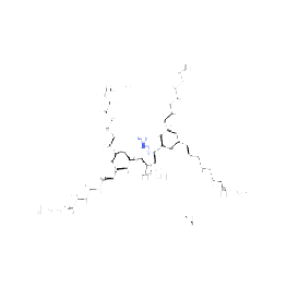 CCCCCCCCCCCCCCCC=Cc1cc(C=CCCCCCCCCCCCCCCC)cc(C2=CC(CCCC)=C(c3cc(C=CCCCCCCCCCCCCCCC)cc(C=CCCCCCCCCCCCCCCC)c3)[N+]2=[N-])c1.[Ni]